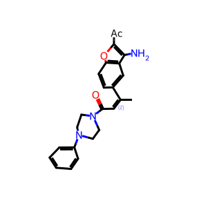 CC(=O)c1oc2ccc(/C(C)=C\C(=O)N3CCN(c4ccccc4)CC3)cc2c1N